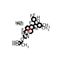 CC1(C)Cc2nc(C3CCN(c4ncc(OCC(C)(CO)CO)cn4)CC3)c([C@@H](F)c3ccc(C(F)(F)F)cc3)c(C3CCC(F)(F)CC3)c2[C@@H](O)C1.Cl.Cl